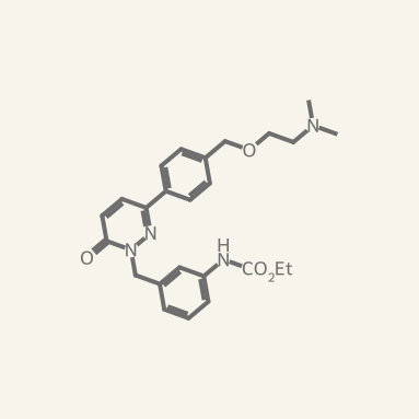 CCOC(=O)Nc1cccc(Cn2nc(-c3ccc(COCCN(C)C)cc3)ccc2=O)c1